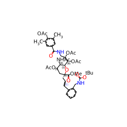 COC(=O)[C@@]1(C/C=C/c2ccccc2CNC(=O)OC(C)(C)C)C[C@H](OC(C)=O)[C@@H](NC(C)=O)[C@@H]([C@H](OC(C)=O)[C@@H](CNC(=O)c2cc(C)c(OC(C)=O)c(C)c2)OC(C)=O)O1